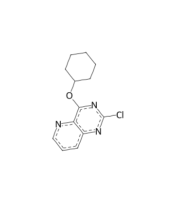 Clc1nc(OC2CCCCC2)c2ncccc2n1